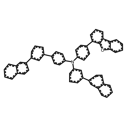 c1cc(-c2ccc(N(c3ccc(-c4cccc5c4oc4ccccc45)cc3)c3cccc(-c4ccc5ccccc5c4)c3)cc2)cc(-c2ccc3ccccc3c2)c1